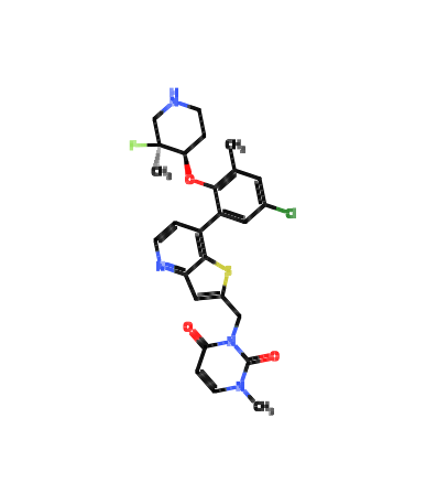 Cc1cc(Cl)cc(-c2ccnc3cc(Cn4c(=O)ccn(C)c4=O)sc23)c1O[C@@H]1CCNC[C@]1(C)F